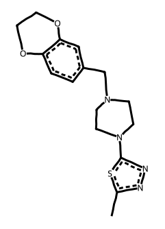 Cc1nnc(N2CCN(Cc3ccc4c(c3)OCCO4)CC2)s1